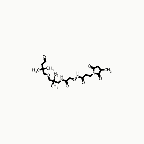 CC1CC(=O)N(CCC(=O)NOCC(=O)NCC(C)(C)COCC(C)(C)CC=O)C1=O